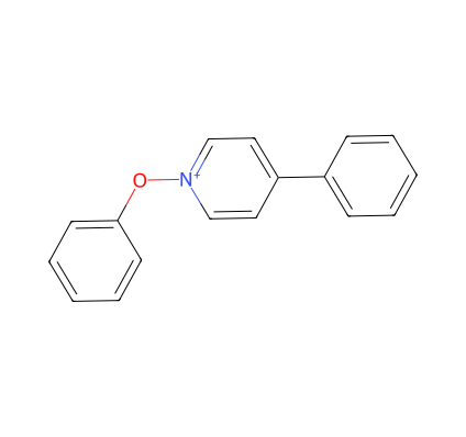 c1ccc(O[n+]2ccc(-c3ccccc3)cc2)cc1